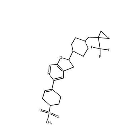 CS(=O)(=O)C1CC=C(c2cc3c(cn2)OC(C2CCN(CC4(C(F)(F)F)CC4)CC2)C3)CC1